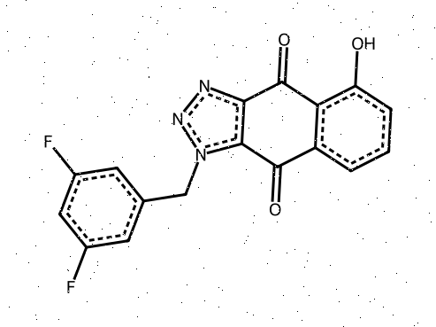 O=C1c2nnn(Cc3cc(F)cc(F)c3)c2C(=O)c2cccc(O)c21